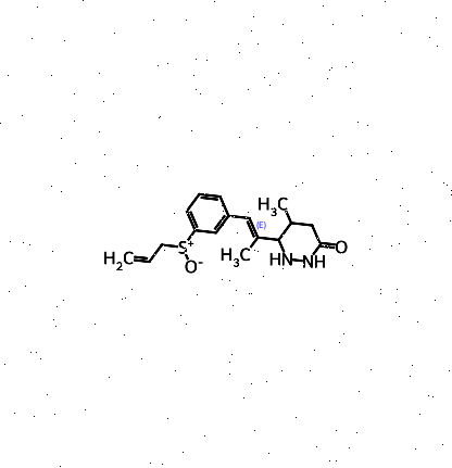 C=CC[S+]([O-])c1cccc(/C=C(\C)C2NNC(=O)CC2C)c1